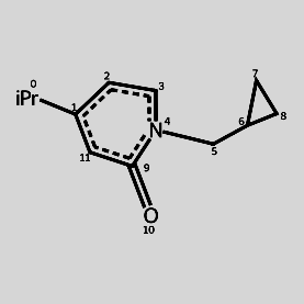 CC(C)c1ccn(CC2CC2)c(=O)c1